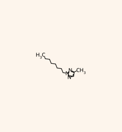 CCCCCCCCn1ncc(C)n1